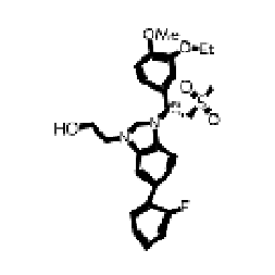 CCOc1cc([C@H](CS(C)(=O)=O)N2CN(CCO)c3cc(-c4ccccc4F)ccc32)ccc1OC